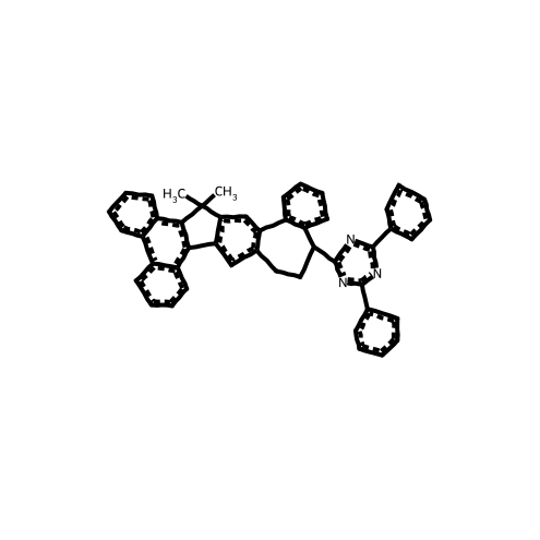 CC1(C)c2cc3c(cc2-c2c1c1ccccc1c1ccccc21)CCC(c1nc(-c2ccccc2)nc(-c2ccccc2)n1)c1ccccc1-3